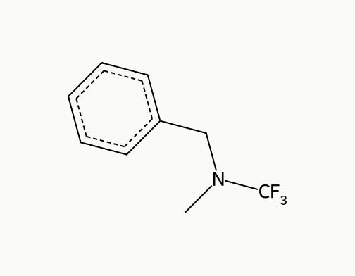 CN(Cc1ccccc1)C(F)(F)F